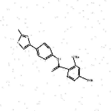 COc1ccc(C(=O)Nc2ccc(-c3csc(C)n3)cc2)c(OC)c1